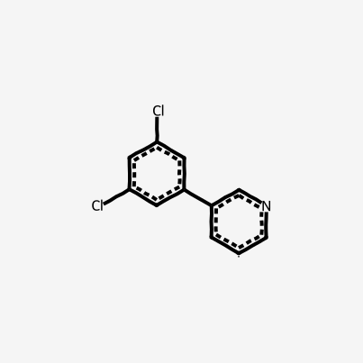 Clc1cc(Cl)cc(-c2c[c]cnc2)c1